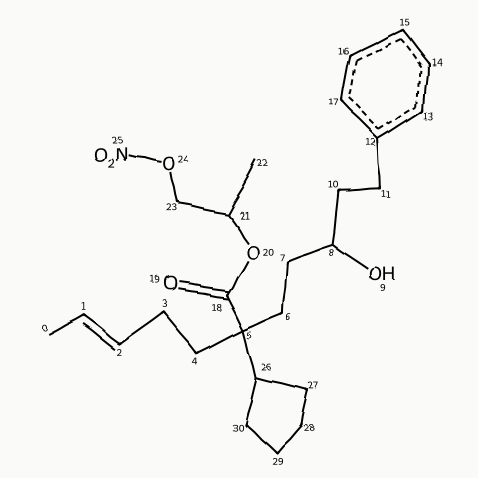 CC=CCCC(CCC(O)CCc1ccccc1)(C(=O)OC(C)CO[N+](=O)[O-])C1CCCC1